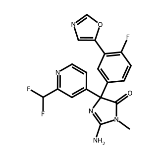 CN1C(=O)C(c2ccnc(C(F)F)c2)(c2ccc(F)c(-c3cnco3)c2)N=C1N